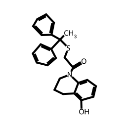 CC(SCC(=O)N1CCCc2c(O)cccc21)(c1ccccc1)c1ccccc1